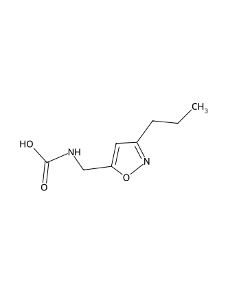 CCCc1cc(CNC(=O)O)on1